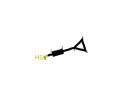 SC#CC1CC1